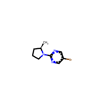 C[C@@H]1CCCN1c1ncc(Br)cn1